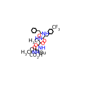 CCC(C)C(NC(=O)C(=O)C(C)NC(=O)C(Cc1ccc(C(F)(F)F)cc1)NC(=O)Cc1ccccc1)C(=O)NC(C)(C)C(=O)O